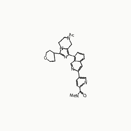 CNC(=O)c1ccc(-c2cc3cccc(-c4nc(C5CCOCC5)n5c4CN(C(C)=O)CC5)c3cn2)cn1